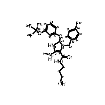 CNC1=C(C(=O)NCCCO)N(Cc2ccc(F)cc2)C(Oc2cccc(OC(F)(F)F)c2)N1